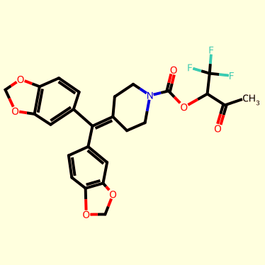 CC(=O)C(OC(=O)N1CCC(=C(c2ccc3c(c2)OCO3)c2ccc3c(c2)OCO3)CC1)C(F)(F)F